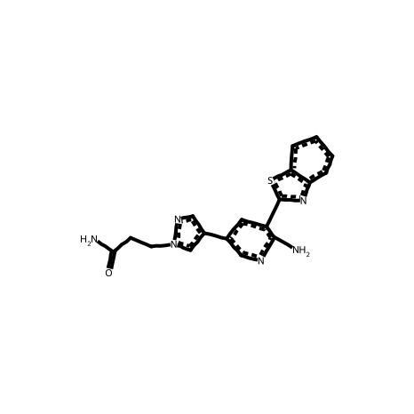 NC(=O)CCn1cc(-c2cnc(N)c(-c3nc4ccccc4s3)c2)cn1